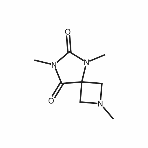 CN1CC2(C1)C(=O)N(C)C(=O)N2C